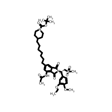 CCOc1cc([C@@H](CS(C)(=O)=O)N2C(=O)c3cc(CCCCCCCC4CCN(C(=O)OC(C)(C)C)CC4)cc(NC(C)=O)c3C2=O)ccc1OC